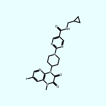 Cn1c(=O)c(=O)n(C2CCN(c3ncc(C(=O)NCC4CC4)cn3)CC2)c2ncc(F)cc21